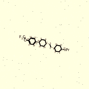 CCC[C@H]1CC[C@H](CC[C@H]2CC[C@H](c3ccc(OC(F)(F)F)cc3)CC2)CC1